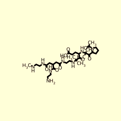 CNCCNC(=O)CC(CC(=O)NCCNC(C)(C)C(=O)C(CCC(=O)O)NC(C)(C)C(=O)C1CCCN1C(C)=O)C(=O)NCCN